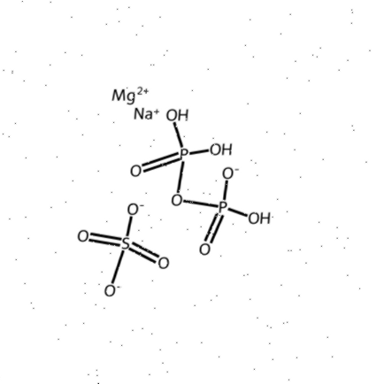 O=P([O-])(O)OP(=O)(O)O.O=S(=O)([O-])[O-].[Mg+2].[Na+]